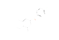 C/C=C/C(CC(CCC(=O)O)C(=O)O)P(=O)(O)c1ccc(F)cc1